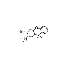 CC1(C)c2ccccc2Oc2cc(Br)c(N)cc21